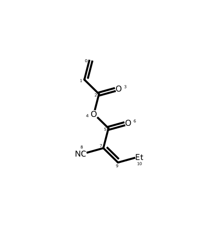 C=CC(=O)OC(=O)C(C#N)=CCC